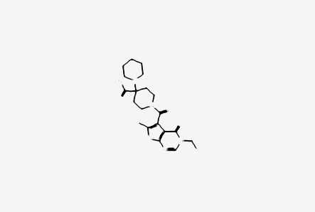 Cc1oc2ncn(CC(C)C)c(=O)c2c1C(=O)N1CCC(C(N)=O)(N2CCCCC2)CC1